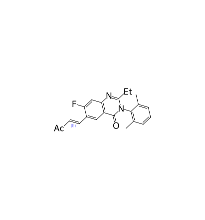 CCc1nc2cc(F)c(/C=C/C(C)=O)cc2c(=O)n1-c1c(C)cccc1C